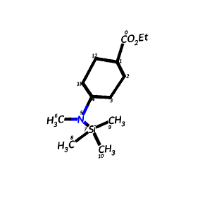 CCOC(=O)C1CCC(N(C)[Si](C)(C)C)CC1